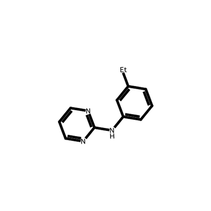 CCc1cccc(Nc2ncccn2)c1